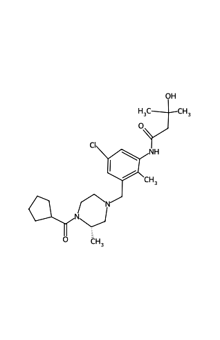 Cc1c(CN2CCN(C(=O)C3CCCC3)[C@@H](C)C2)cc(Cl)cc1NC(=O)CC(C)(C)O